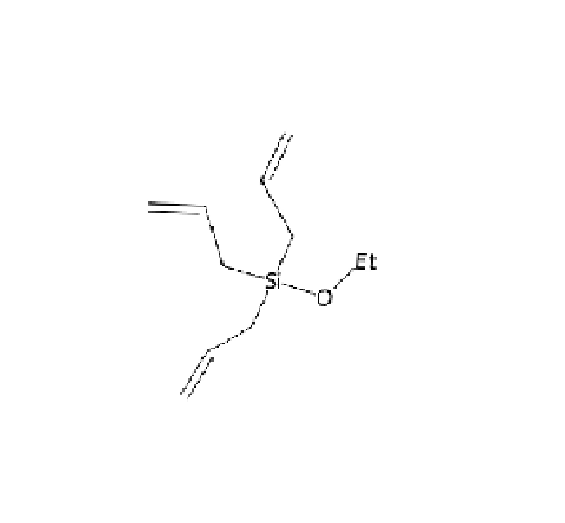 C=CC[Si](CC=C)(CC=C)OCC